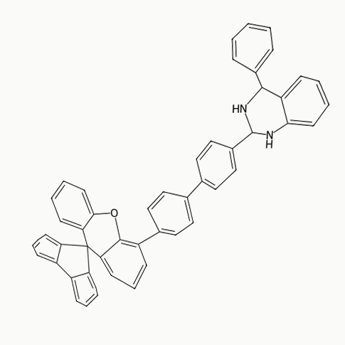 c1ccc(C2NC(c3ccc(-c4ccc(-c5cccc6c5Oc5ccccc5C65c6ccccc6-c6ccccc65)cc4)cc3)Nc3ccccc32)cc1